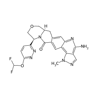 Cn1ncc2c(N)nc3cc4c(cc3c21)C(=O)N1[C@@H](COC[C@@H]1c1ccc(OC(F)F)nn1)C4